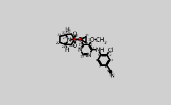 COc1c(Nc2ccc(C#N)cc2Cl)ncnc1OC1C[C@@H]2CC[C@@H](C1)N2S(=O)(=O)C1CC1